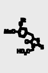 CCOc1cc(CC2SC(=S)N(CC(=O)O)C2=O)ccc1OC